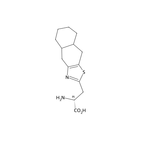 N[C@H](Cc1nc2c(s1)CC1CCCCC1C2)C(=O)O